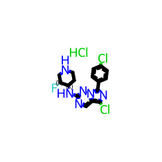 Cl.F[C@@H]1CNCC[C@H]1Nc1ncc2c(Cl)nc(-c3ccc(Cl)cc3)n2n1